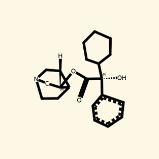 O=C(O[C@H]1CN2CCC1CC2)[C@](O)(c1ccccc1)C1CCCCC1